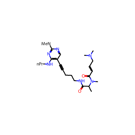 CCCNc1nc(NC)ncc1C#CCCCNC(=O)C(C)N(C)C(=O)C=CCN(C)C